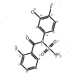 NS(=O)(=O)N(C(=O)c1ccccc1F)c1ccc(F)c(Cl)c1